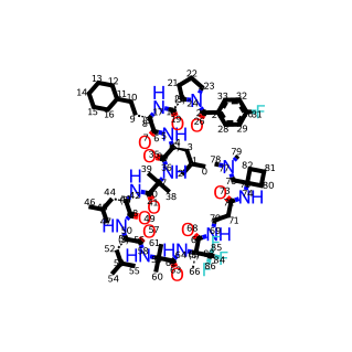 CC(C)C[C@H](NC(=O)[C@H](CCC1CCCCC1)NC(=O)[C@@H]1CCCN1C(=O)c1ccc(F)cc1)C(=O)NC(C)(C)C(=O)N[C@@H](CC(C)C)C(=O)N[C@@H](CC(C)C)C(=O)NC(C)(C)C(=O)N[C@@](C)(C(=O)NCCC(=O)NC1(CN(C)C)CCC1)C(F)(F)F